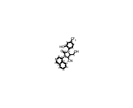 N#CC1C(CO)N(c2ccc(C(F)(F)F)cc2O)C(=O)N1c1cncc2ccccc12